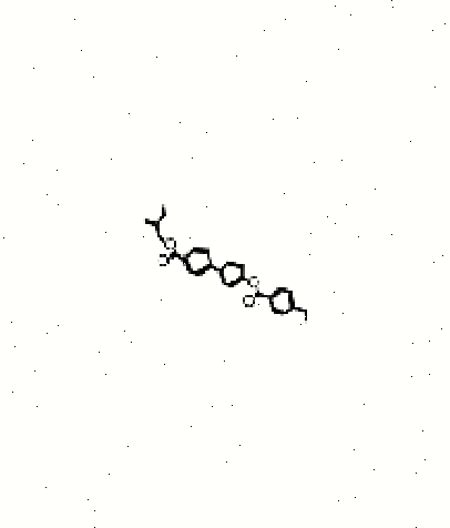 CCc1ccc(C(=O)Oc2ccc(-c3ccc(C(=O)OCC(C)CC)cc3)cc2)cc1